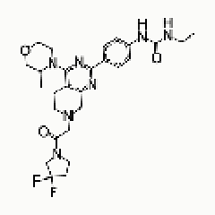 CCNC(=O)Nc1ccc(-c2nc3c(c(N4CCOCC4C)n2)CCN(CC(=O)N2CCC(F)(F)C2)C3)cc1